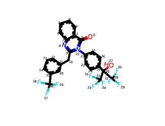 O=c1c2ccccc2nc(Cc2cccc(C(F)(F)F)c2)n1-c1ccc(C(O)(C(F)(F)F)C(F)(F)F)cc1